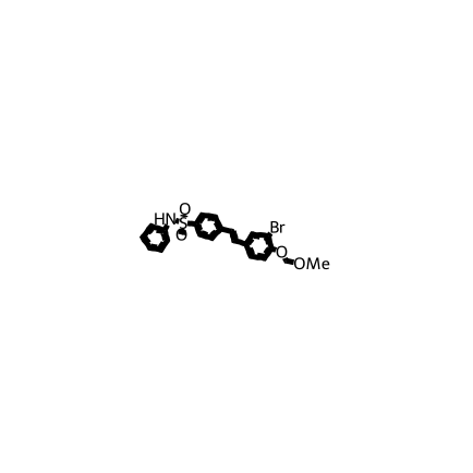 COCOc1ccc(C=Cc2ccc(S(=O)(=O)Nc3ccccc3)cc2)cc1Br